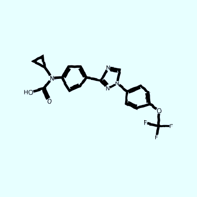 O=C(O)N(c1ccc(-c2ncn(-c3ccc(OC(F)(F)F)cc3)n2)cc1)C1CC1